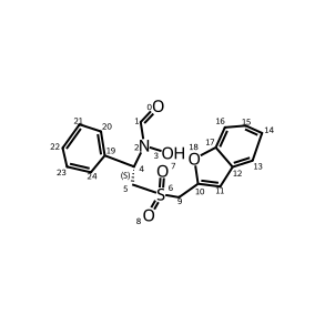 O=CN(O)[C@H](CS(=O)(=O)Cc1cc2ccccc2o1)c1ccccc1